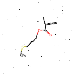 C=C(C)C(=O)OCCCSC(C)(C)C